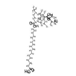 CC(C)(C)CCCCCC(=O)O.CC(C)[CH2][Al][CH2]C(C)C.CCCCC(CC)C(=O)O.CCCCCCCCCCCCCCCCCC(=O)O.C[CH2][Al][CH2]C.[CH3][Al][CH3]